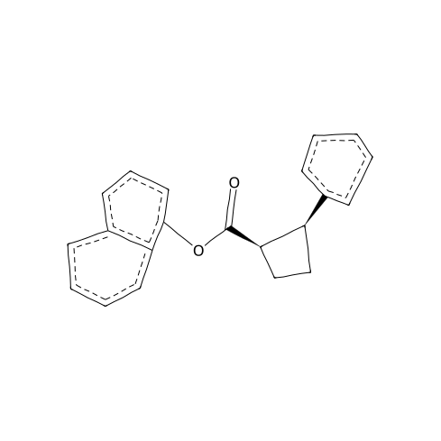 O=C(Oc1cccc2ccccc12)[C@@H]1CC[C@@H]1c1ccccc1